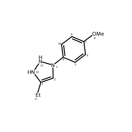 CCC1=CN(c2ccc(OC)cc2)NN1